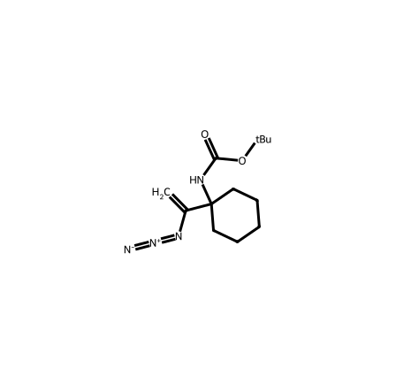 C=C(N=[N+]=[N-])C1(NC(=O)OC(C)(C)C)CCCCC1